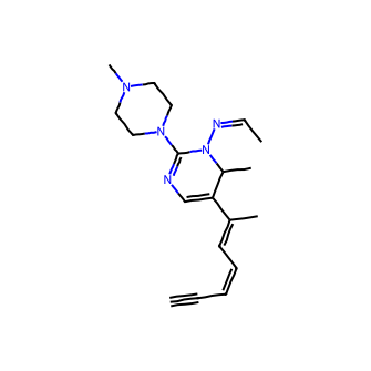 C#C/C=C\C=C(/C)C1=CN=C(N2CCN(C)CC2)N(/N=C\C)C1C